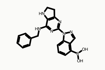 OB(O)c1cccc2c1cnn2-c1nc2c(c(NCc3ccccc3)n1)NCC2